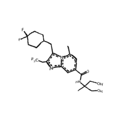 Cc1cc(C(=O)NC(C)(CO)CO)cc2nc(C(F)(F)F)c(CC3CCC(F)(F)CC3)n12